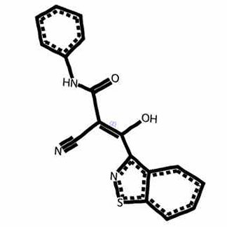 N#C/C(C(=O)Nc1ccccc1)=C(/O)c1nsc2ccccc12